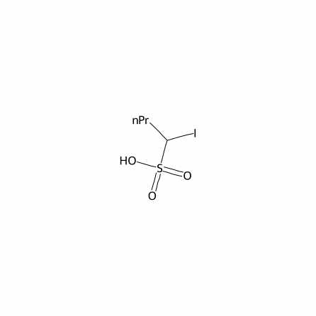 CCCC(I)S(=O)(=O)O